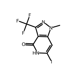 Cn1nc(C(F)(F)F)c2c(=O)[nH]c(I)cc21